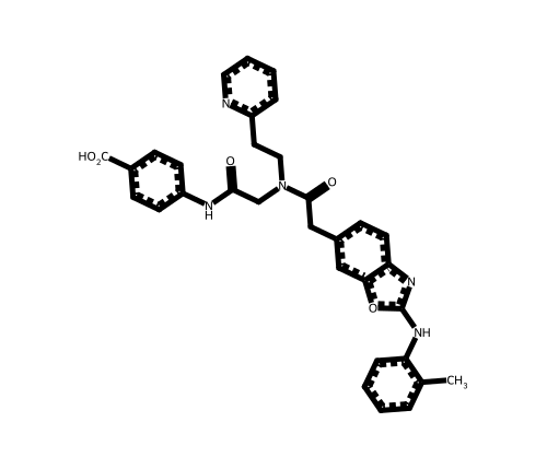 Cc1ccccc1Nc1nc2ccc(CC(=O)N(CCc3ccccn3)CC(=O)Nc3ccc(C(=O)O)cc3)cc2o1